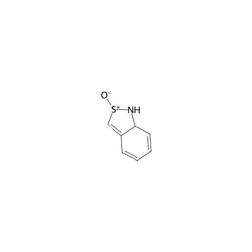 [O-][S+]1C=C2C=CC=CC2N1